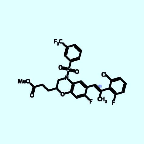 COC(=O)CCC1CN(S(=O)(=O)c2cccc(C(F)(F)F)c2)c2cc(/C=C(\C)c3c(F)cccc3Cl)c(F)cc2O1